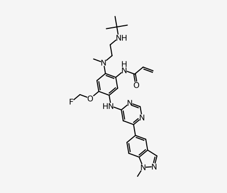 C=CC(=O)Nc1cc(Nc2cc(-c3ccc4c(cnn4C)c3)ncn2)c(OCF)cc1N(C)CCNC(C)(C)C